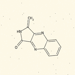 C=C1NC(=O)c2nc3ccccc3nc21